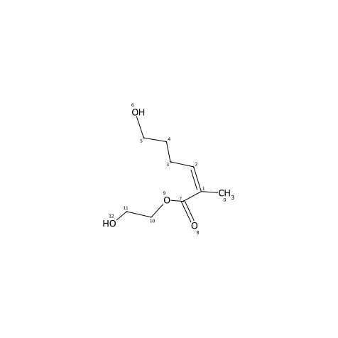 CC(=CCCCO)C(=O)OCCO